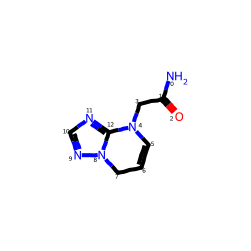 NC(=O)CN1C=CCn2ncnc21